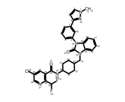 Cn1ccc(-c2cccc(-n3c(=O)n(CC4CCC(NC(=O)c5cc(Cl)cnc5C(F)F)CC4)c4ccccc43)c2)n1